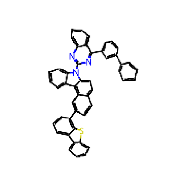 c1ccc(-c2cccc(-c3nc(-n4c5ccccc5c5c6cc(-c7cccc8c7sc7ccccc78)ccc6ccc54)nc4ccccc34)c2)cc1